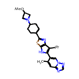 COC1CN(C2CCC(c3nc4c(C(C)C)c(-c5cn6ncnc6cc5C)[nH]c4s3)CC2)C1